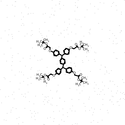 CC(C)(C)OC(=O)COc1ccc(C(c2ccc(OCC(=O)OC(C)(C)C)cc2)c2ccc(C(c3ccc(OCC(=O)OC(C)(C)C)cc3)c3ccc(OCC(=O)OC(C)(C)C)cc3)cc2)cc1